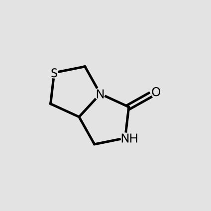 O=C1NCC2CSCN12